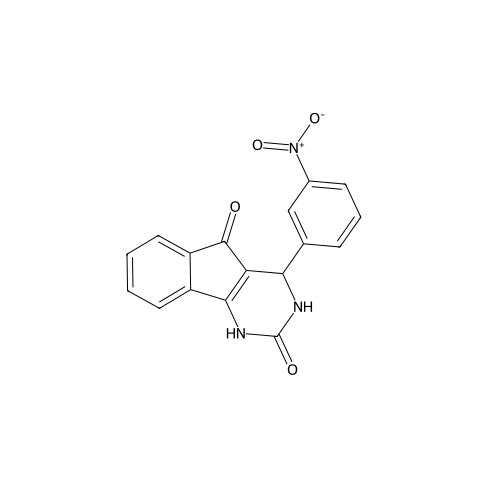 O=C1NC2=C(C(=O)c3ccccc32)C(c2cccc([N+](=O)[O-])c2)N1